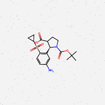 CC(C)(C)OC(=O)N1CCC(C(=O)O)[C@@H]1c1cc(N)ccc1S(=O)(=O)C1CC1